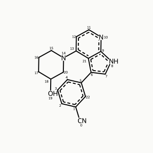 N#Cc1cccc(-c2c[nH]c3nccc(N4CCCC(O)C4)c23)c1